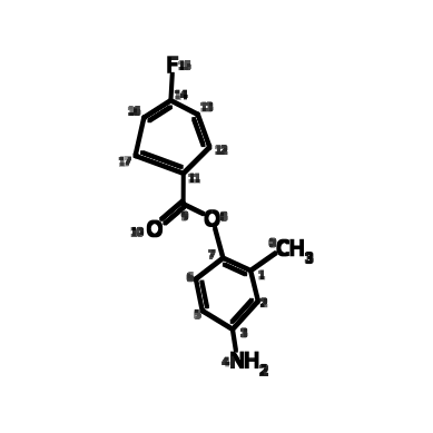 Cc1cc(N)ccc1OC(=O)c1ccc(F)cc1